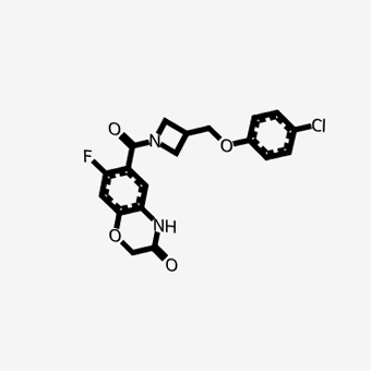 O=C1COc2cc(F)c(C(=O)N3CC(COc4ccc(Cl)cc4)C3)cc2N1